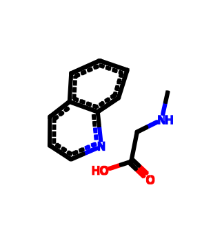 CNCC(=O)O.c1ccc2ncccc2c1